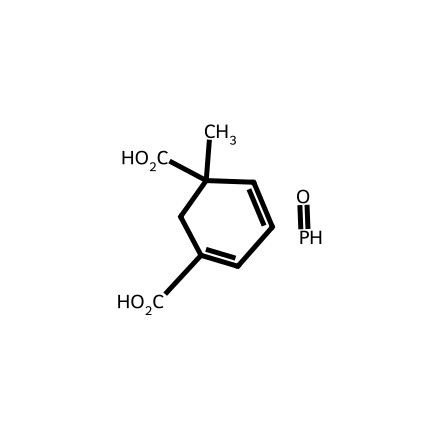 CC1(C(=O)O)C=CC=C(C(=O)O)C1.O=P